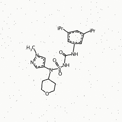 CC(C)c1cc(NC(=O)NS(=O)(=O)N(c2cnn(C)c2)C2CCOCC2)cc(C(C)C)c1